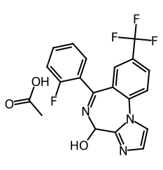 CC(=O)O.OC1N=C(c2ccccc2F)c2cc(C(F)(F)F)ccc2-n2ccnc21